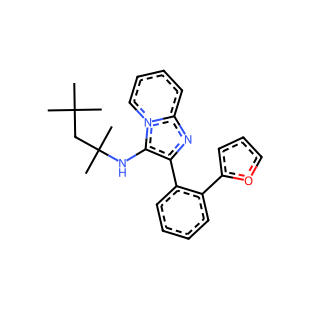 CC(C)(C)CC(C)(C)Nc1c(-c2ccccc2-c2ccco2)nc2ccccn12